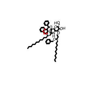 CCCCCCCCCCC[C@H](CCO[C@H]1[C@H](O)[C@@H](CO)O[C@H](C(=O)OC(c2ccccc2)c2ccccc2)[C@@H]1NC(=O)C[C@@H](CCCCCCCCCCC)OCc1ccccc1)OCc1ccccc1